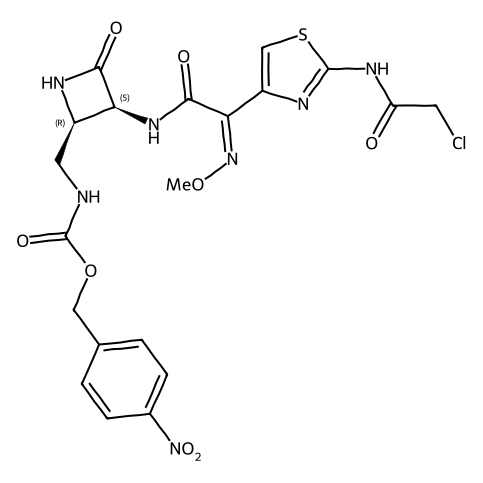 CON=C(C(=O)N[C@@H]1C(=O)N[C@@H]1CNC(=O)OCc1ccc([N+](=O)[O-])cc1)c1csc(NC(=O)CCl)n1